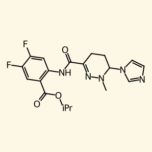 CC(C)OC(=O)c1cc(F)c(F)cc1NC(=O)C1=NN(C)C(n2ccnc2)CC1